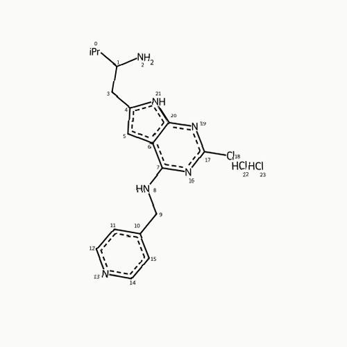 CC(C)C(N)Cc1cc2c(NCc3ccncc3)nc(Cl)nc2[nH]1.Cl.Cl